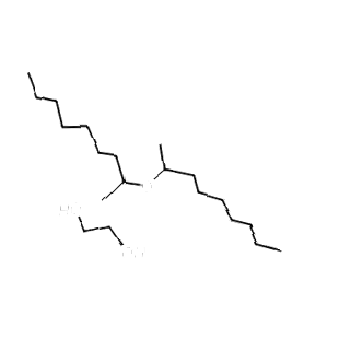 CCCCCCCC(C)OC(C)CCCCCCC.OCCO